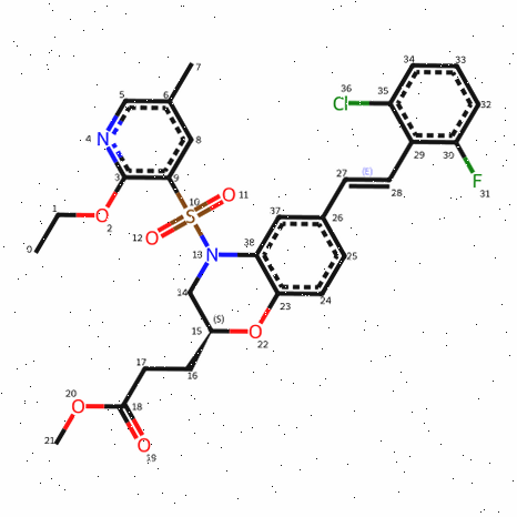 CCOc1ncc(C)cc1S(=O)(=O)N1C[C@H](CCC(=O)OC)Oc2ccc(/C=C/c3c(F)cccc3Cl)cc21